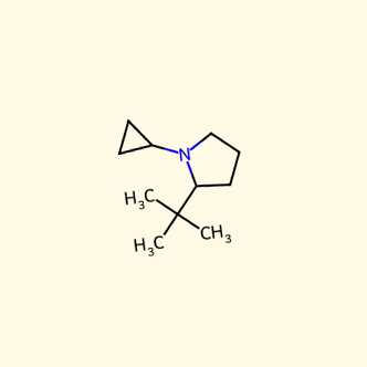 CC(C)(C)C1CCCN1C1CC1